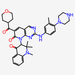 Cc1cc(Nc2ncc3cc(C(=O)C4CCOCC4)c(=O)n(C4C(=O)c5ccccc5N(C)C4(C)C)c3n2)ccc1N1CCNCC1